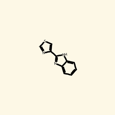 [c]1nc(-c2nc3ccccc3[nH]2)cs1